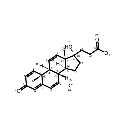 C[C@]12C=CC(=O)C=C1C=C[C@@H]1[C@@H]2C=C[C@@]2(C)[C@H]1CC[C@]2(O)CCC(=O)[O-].[K+]